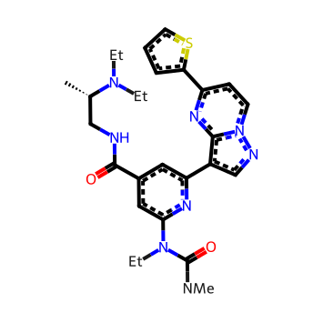 CCN(C(=O)NC)c1cc(C(=O)NC[C@H](C)N(CC)CC)cc(-c2cnn3ccc(-c4cccs4)nc23)n1